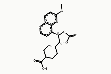 COc1ccc2nccc([C@H]3OC(=O)O[C@@H]3[C@H]3CC[C@H](C(=O)O)CC3)c2n1